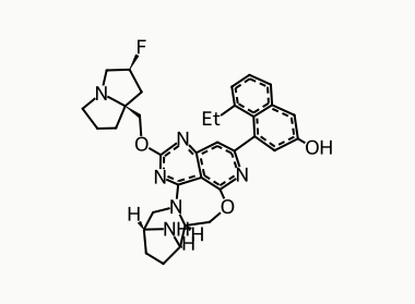 CCc1cccc2cc(O)cc(-c3cc4nc(OC[C@@]56CCCN5C[C@@H](F)C6)nc5c4c(n3)OC[C@@H]3[C@@H]4CC[C@H](CN53)N4)c12